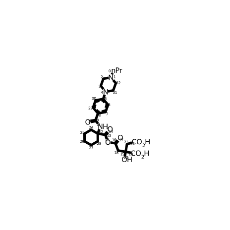 CCCN1CCN(c2ccc(C(=O)NC3(C(=O)OC(=O)CC(O)(CC(=O)O)C(=O)O)CCCCC3)cc2)CC1